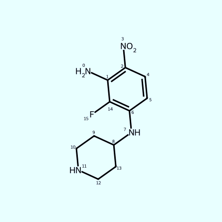 Nc1c([N+](=O)[O-])ccc(NC2CCNCC2)c1F